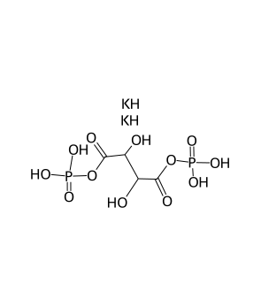 O=C(OP(=O)(O)O)C(O)C(O)C(=O)OP(=O)(O)O.[KH].[KH]